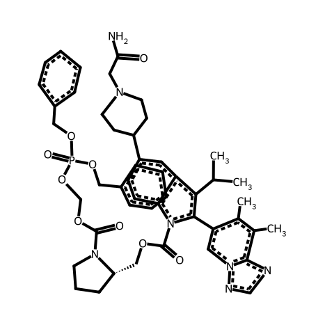 Cc1c(-c2c(C(C)C)c3cc(C4CCN(CC(N)=O)CC4)ccc3n2C(=O)OC[C@@H]2CCCN2C(=O)OCOP(=O)(OCc2ccccc2)OCc2ccccc2)cn2ncnc2c1C